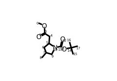 COC(=O)CC1CC(C)CN1C(=O)OC(C)(C)C